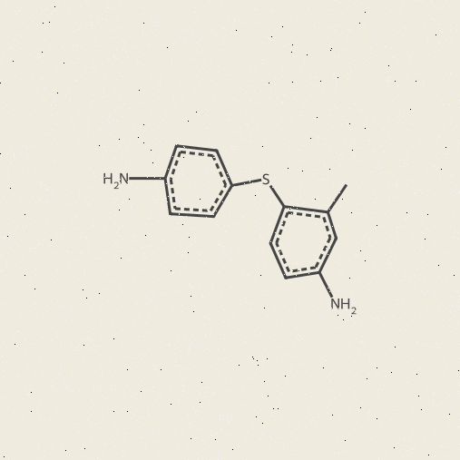 Cc1cc(N)ccc1Sc1ccc(N)cc1